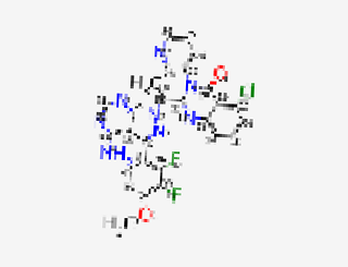 COc1ccc(-c2nn([C@@H](C)c3nc4cccc(Cl)c4c(=O)n3-c3cccnc3)c3ncnc(N)c23)c(F)c1F